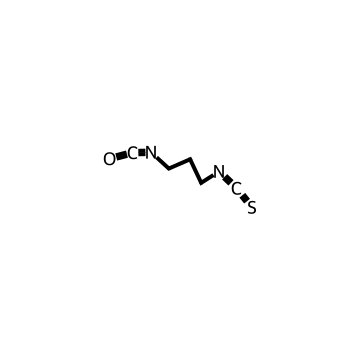 O=C=NCCCN=C=S